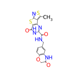 Cc1snc2sc3c(=O)[nH]c(C(=O)NCc4ccc5c(c4)NC(=O)CO5)nc3c12